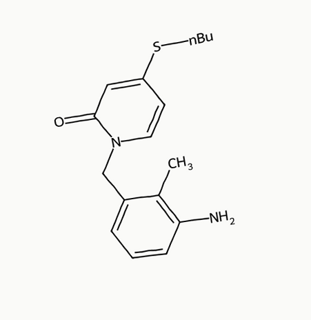 CCCCSc1ccn(Cc2cccc(N)c2C)c(=O)c1